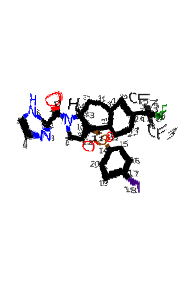 O=C(c1ncc[nH]1)N1CC[C@@]2(S(=O)(=O)c3ccc(I)cc3)c3ccc(C(F)(C(F)(F)F)C(F)(F)F)cc3CC[C@@H]12